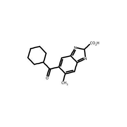 Cc1cc2c(cc1C(=O)C1CCCCC1)=NC(C(=O)O)N=2